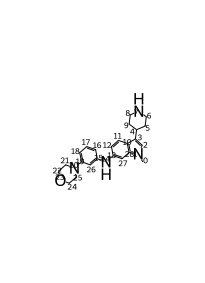 Cn1cc(C2CCNCC2)c2ccc(Nc3cccc(N4CCOCC4)c3)cc21